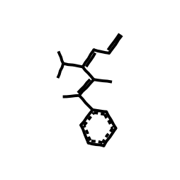 C=C/C=C(\C(C)=C(/C)c1ccccc1)C(C)C